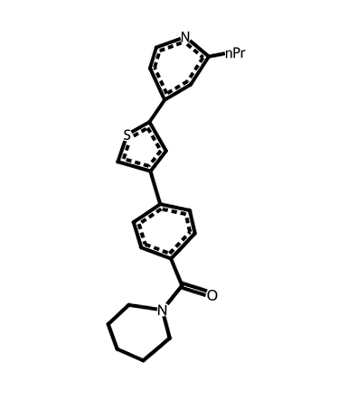 CCCc1cc(-c2cc(-c3ccc(C(=O)N4CCCCC4)cc3)cs2)ccn1